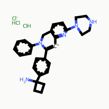 Cl.Cl.NC1(c2ccc(C3=[C+]c4nc(N5CCNCC5)ccc4CN3c3ccccc3)cc2)CCC1.[Cl-]